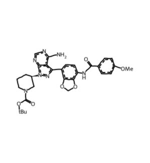 COc1ccc(C(=O)Nc2ccc(-c3nn([C@@H]4CCCN(C(=O)OC(C)(C)C)C4)c4ncnc(N)c34)c3c2OCO3)cc1